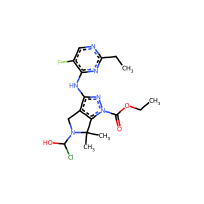 CCOC(=O)n1nc(Nc2nc(CC)ncc2F)c2c1C(C)(C)N(C(O)Cl)C2